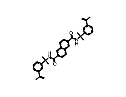 C=C(C)c1cccc(C(C)(C)NC(=O)c2ccc3cc(C(=O)NC(C)(C)c4cccc(C(=C)C)c4)ccc3c2)c1